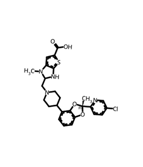 CN1c2cc(C(=O)O)sc2NC1CN1CCC(c2cccc3c2O[C@](C)(c2ccc(Cl)cn2)O3)CC1